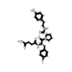 NC(=O)CCC(=O)N[C@H](Cc1ccc(F)cc1)C(=O)N1CCC[C@H]1C(=O)NCCc1ccc(O)cc1